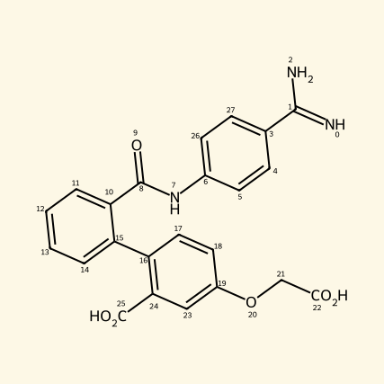 N=C(N)c1ccc(NC(=O)c2ccccc2-c2ccc(OCC(=O)O)cc2C(=O)O)cc1